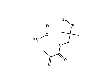 C=C(C)C(=O)OCC(C)(C)NCC.CCOS(=O)(=O)O